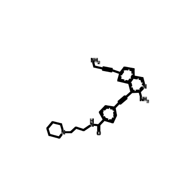 NCC#Cc1ccc2cnc(N)c(C#Cc3ccc(C(=O)NCCCN4CCCCC4)cc3)c2c1